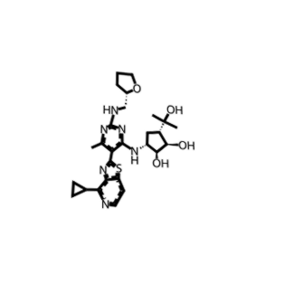 Cc1nc(NC[C@@H]2CCCO2)nc(N[C@@H]2C[C@H](C(C)(C)O)[C@@H](O)[C@H]2O)c1-c1nc2c(C3CC3)nccc2s1